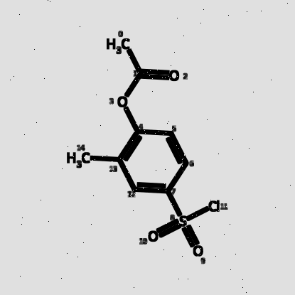 CC(=O)Oc1ccc(S(=O)(=O)Cl)cc1C